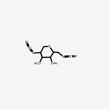 CC(=O)OC1C(N=[N+]=[N-])COC(CN=[N+]=[N-])C1OC(C)=O